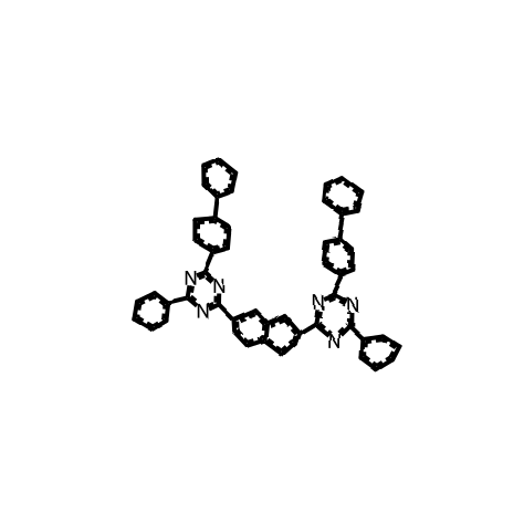 c1ccc(-c2ccc(-c3nc(-c4ccccc4)nc(-c4ccc5ccc(-c6nc(-c7ccccc7)nc(-c7ccc(-c8ccccc8)cc7)n6)cc5c4)n3)cc2)cc1